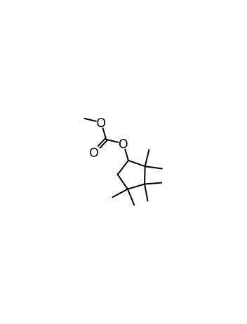 COC(=O)OC1CC(C)(C)C(C)(C)C1(C)C